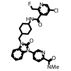 CNC(=O)c1ccc(-n2c(=O)n(CC3CCC(NC(=O)c4cc(Cl)cnc4CF)CC3)c3ccccc32)cn1